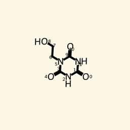 O=c1[nH]c(=O)n(CCO)c(=O)[nH]1